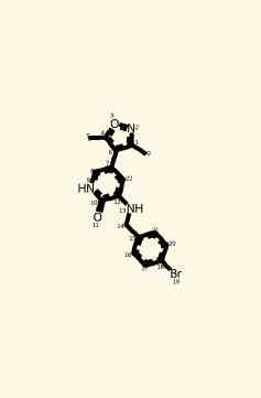 Cc1noc(C)c1-c1c[nH]c(=O)c(NCc2ccc(Br)cc2)c1